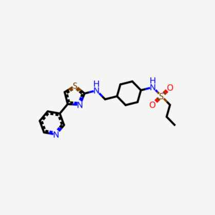 CCCS(=O)(=O)NC1CCC(CNc2nc(-c3cccnc3)cs2)CC1